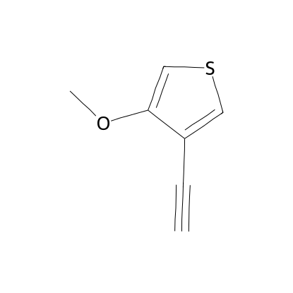 C#Cc1cscc1OC